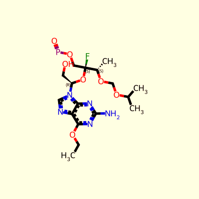 CCOc1nc(N)nc2c1ncn2[C@@H](CO)O[C@](F)(COP=O)[C@H](C)OCOC(C)C